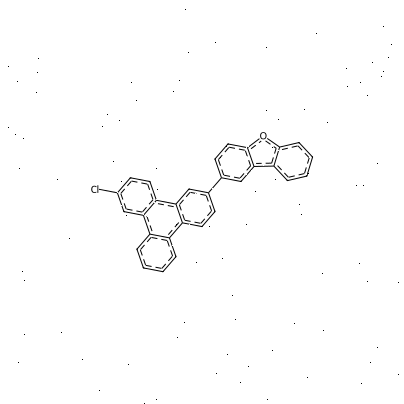 Clc1ccc2c(c1)c1ccccc1c1ccc(-c3ccc4oc5ccccc5c4c3)cc12